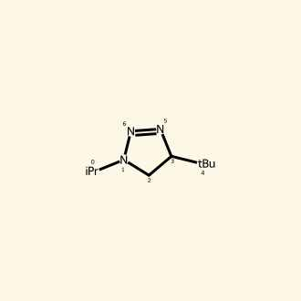 CC(C)N1CC(C(C)(C)C)N=N1